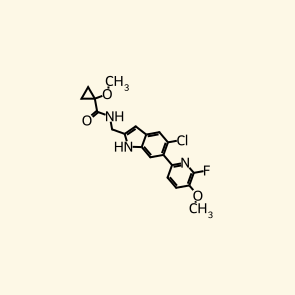 COc1ccc(-c2cc3[nH]c(CNC(=O)C4(OC)CC4)cc3cc2Cl)nc1F